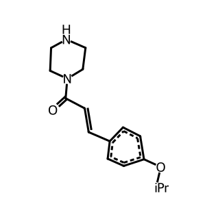 CC(C)Oc1ccc(C=CC(=O)N2CCNCC2)cc1